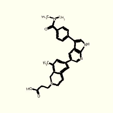 Cc1cc(-c2cnc3[nH]cc(-c4ccc(C(=O)N(C)C)cc4)c3c2)cc2c1CN(CCC(=O)O)CC2